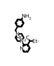 C[CH]C(C(=O)O)c1cccnc1N1CCN(Cc2ccc(N)cc2)CC1